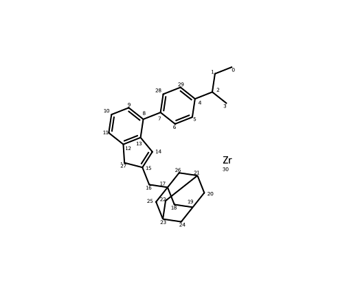 CCC(C)c1ccc(-c2cccc3c2C=C(CC24CC5CC(CC(C5)C2)C4)[CH]3)cc1.[Zr]